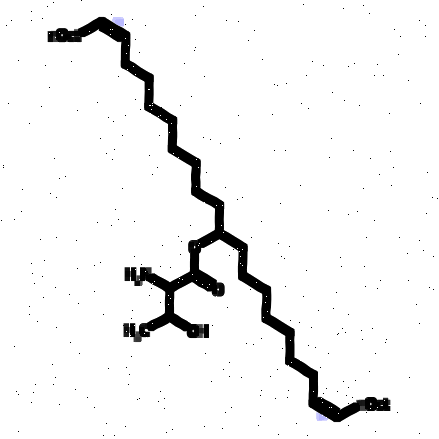 CCCCCCCC/C=C\CCCCCCCCC(CCCCCCC/C=C\CCCCCCCC)OC(=O)C(N)C(C)O